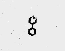 [c]1cnncc1-c1ccccc1